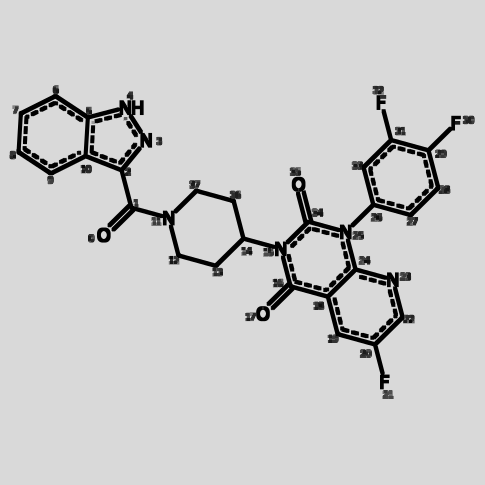 O=C(c1n[nH]c2ccccc12)N1CCC(n2c(=O)c3cc(F)cnc3n(-c3ccc(F)c(F)c3)c2=O)CC1